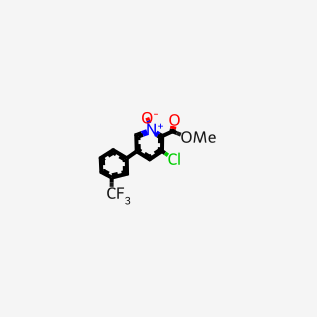 COC(=O)c1c(Cl)cc(-c2cccc(C(F)(F)F)c2)c[n+]1[O-]